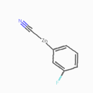 N#[C][Zn][c]1cccc(F)c1